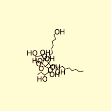 CCCCCCCC(O)CC(=O)C(CCCCCCCCO)(C(=O)O)C1(C2O[C@H](C)[C@@H](O)[C@H](O)[C@@H]2O)O[C@H](C)[C@@H](O)[C@H](O)[C@@H]1O